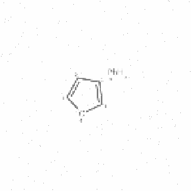 [PbH2].c1ccoc1